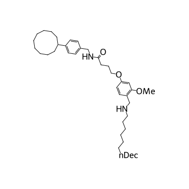 CCCCCCCCCCCCCCCCNCc1ccc(OCCCC(=O)NCc2ccc(C3CCCCCCCCC3)cc2)cc1OC